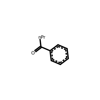 C[C]CC(=O)c1ccccc1